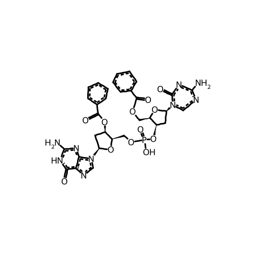 Nc1ncn([C@H]2C[C@@H](OP(=O)(O)OC[C@H]3O[C@@H](n4cnc5c(=O)[nH]c(N)nc54)C[C@H]3OC(=O)c3ccccc3)[C@@H](COC(=O)c3ccccc3)O2)c(=O)n1